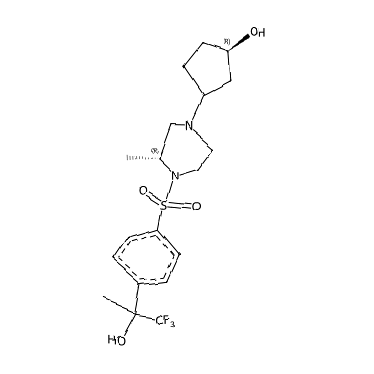 C[C@@H]1CN(C2CC[C@@H](O)C2)CCN1S(=O)(=O)c1ccc(C(C)(O)C(F)(F)F)cc1